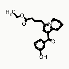 CCOC(=O)CCCc1cc(C(=O)c2cccc(O)c2)c2ccccn12